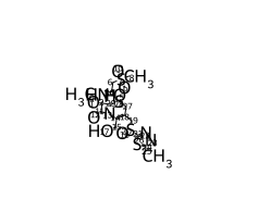 CO[C@@]1(NC(=O)CS(C)(=O)=O)C(=O)N2C(C(=O)O)=C(CSc3nnc(C)s3)CS[C@@H]21